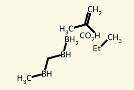 BBCBC.C=C(C)C(=O)O.CCC